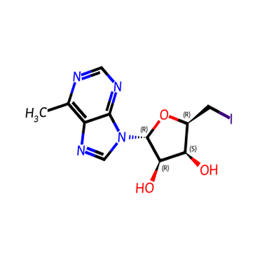 Cc1ncnc2c1ncn2[C@@H]1O[C@@H](CI)[C@@H](O)[C@H]1O